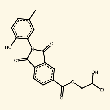 CCC(O)COC(=O)c1ccc2c(c1)C(=O)N(c1cc(C)ccc1O)C2=O